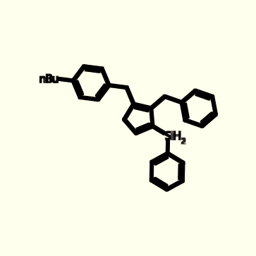 CCCCc1ccc(CC2=C(Cc3ccccc3)C([SiH2]c3ccccc3)=CC2)cc1